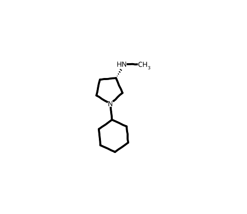 CN[C@H]1CCN(C2CCCCC2)C1